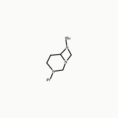 CC(C)N1CCC2N(C1)CN2C(C)(C)C